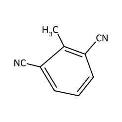 Cc1c(C#N)cccc1C#N